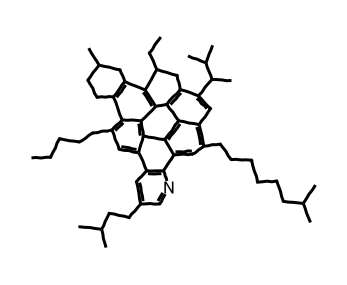 CCCCCc1cc2c3cc(CCC(C)C)cnc3c3cc(CCCCCCC(C)C)c4cc(C(C)C(C)C)c5c6c7c(c8c(c1c7c2c3c46)CCC(C)C8)C(CC)C5